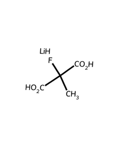 CC(F)(C(=O)O)C(=O)O.[LiH]